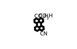 N#Cc1ccc2c3ccc(C(=O)O)c4c(C(=O)O)ccc(c5cccc1c52)c43